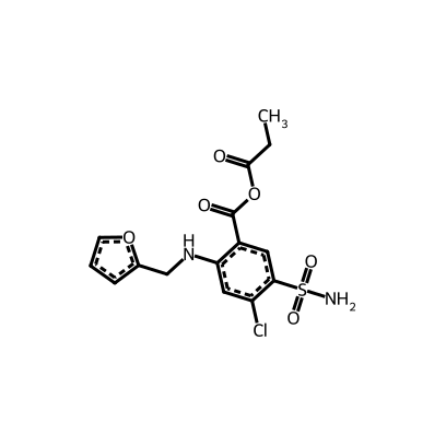 CCC(=O)OC(=O)c1cc(S(N)(=O)=O)c(Cl)cc1NCc1ccco1